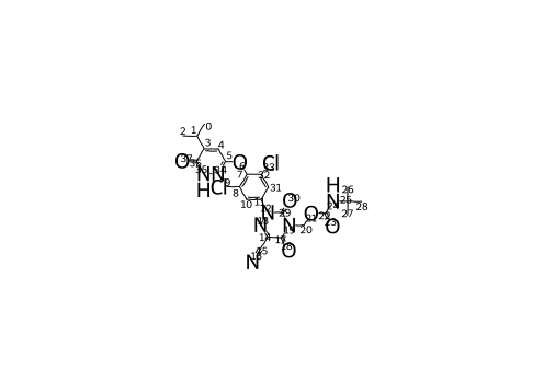 CC(C)c1cc(Oc2c(Cl)cc(-n3nc(C#N)c(=O)n(COC(=O)NC(C)(C)C)c3=O)cc2Cl)n[nH]c1=O